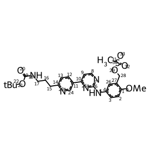 COc1ccc(Nc2nccc(-c3ccc(CCCNC(=O)OC(C)(C)C)nc3)n2)cc1COS(C)(=O)=O